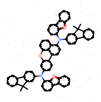 CC1(C)c2ccccc2-c2ccc(N(c3ccc4c(c3)Oc3cccc5c(N(c6ccc7c(c6)C(C)(C)c6ccccc6-7)c6cccc7c6oc6ccccc67)ccc-4c35)c3cccc4c3oc3ccccc34)cc21